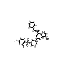 O=S(=O)(c1ccc(Cl)cc1F)N1CCCC(c2cc(NCc3cccnc3)n3ncc(Br)c3n2)C1